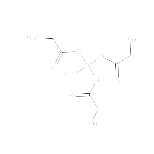 CCC(=O)[O][Sn]([CH3])([O]C(=O)CC)[O]C(=O)CC